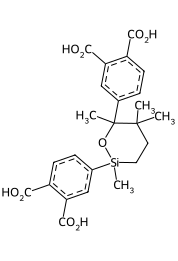 CC1(C)CC[Si](C)(c2ccc(C(=O)O)c(C(=O)O)c2)OC1(C)c1ccc(C(=O)O)c(C(=O)O)c1